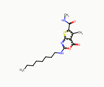 CCCCCCCCNc1nc2sc(C(=O)NC)c(C)c2c(=O)o1